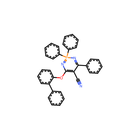 N#CC1=C(Oc2ccccc2-c2ccccc2)N=P(c2ccccc2)(c2ccccc2)N=C1c1ccccc1